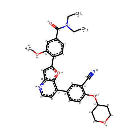 CCN(CC)C(=O)c1ccc(-c2cc3nccc(-c4ccc(OC5CCOCC5)c(C#N)c4)c3o2)c(OC)c1